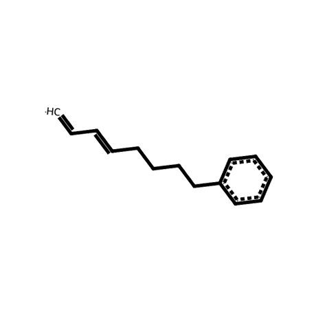 [CH]=CC=CCCCCc1ccccc1